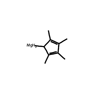 C[C]1C(C)=C(C)C(C)=C1C.[MgH2]